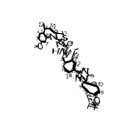 COc1ccc2c(c1)N1C(=CC2C)CS/C1=N\C(=O)N/N=C/c1ccc(-c2ncn(-c3ccc(OC(F)(F)F)cc3)n2)cc1F